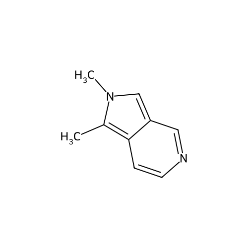 Cc1c2ccncc2cn1C